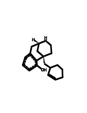 Oc1cccc2c1[C@]1(CC3C=CCCC3)CCN[C@H](C2)C1